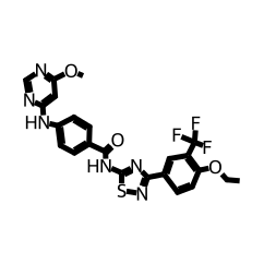 CCOc1ccc(-c2nsc(NC(=O)c3ccc(Nc4cc(OC)ncn4)cc3)n2)cc1C(F)(F)F